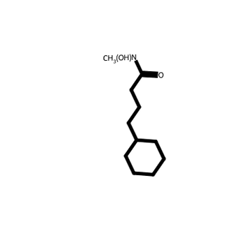 CN(O)C(=O)CCCC1CCCCC1